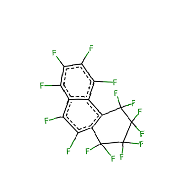 Fc1c(F)c(F)c2c3c(c(F)c(F)c2c1F)C(F)(F)C(F)(F)C(F)(F)C3(F)F